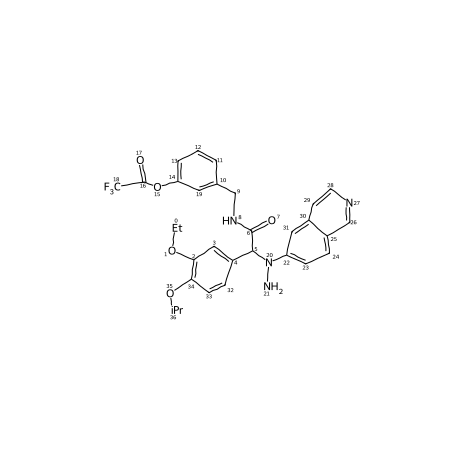 CCOc1cc(C(C(=O)NCc2cccc(OC(=O)C(F)(F)F)c2)N(N)c2ccc3cnccc3c2)ccc1OC(C)C